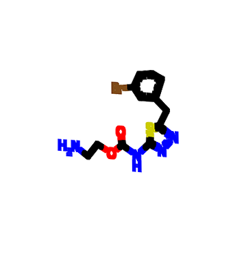 NCCOC(=O)Nc1nnc(Cc2cccc(Br)c2)s1